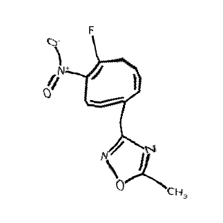 Cc1nc(-c2ccc(F)c([N+](=O)[O-])c2)no1